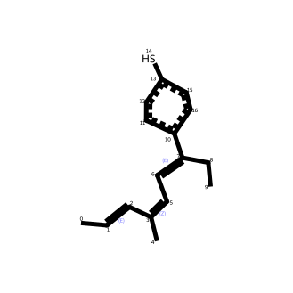 C/C=C/C(C)=C\C=C(/CC)c1ccc(S)cc1